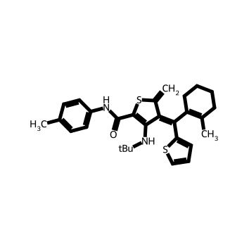 C=c1sc(C(=O)Nc2ccc(C)cc2)c(NC(C)(C)C)/c1=C(/C1=C(C)CCCC1)c1cccs1